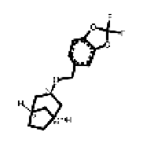 FC1(F)Oc2ccc(CO[C@@H]3C[C@@H]4CC[C@@H](C4)C3)cc2O1